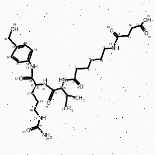 CC(C)[C@H](NC(=O)CCCCCNC(=O)CCC(=O)O)C(=O)N[C@@H](CCCNC(N)=O)C(=O)Nc1ccc(CO)cc1